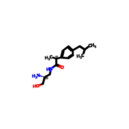 CC(C)Cc1ccc([C@H](C)C(=O)NC[C@@H](N)CO)cc1